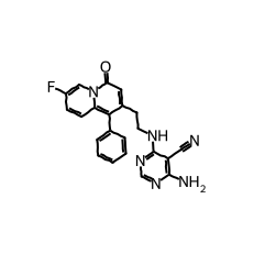 N#Cc1c(N)ncnc1NCCc1cc(=O)n2cc(F)ccc2c1-c1ccccc1